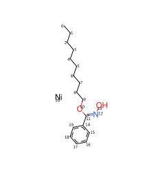 CCCCCCCCCCOC(=NO)c1ccccc1.[Ni]